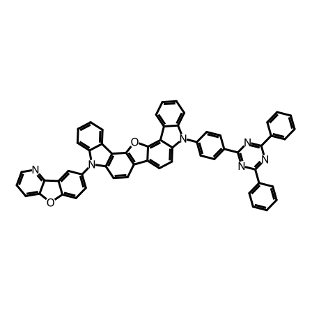 c1ccc(-c2nc(-c3ccccc3)nc(-c3ccc(-n4c5ccccc5c5c6oc7c(ccc8c7c7ccccc7n8-c7ccc8oc9cccnc9c8c7)c6ccc54)cc3)n2)cc1